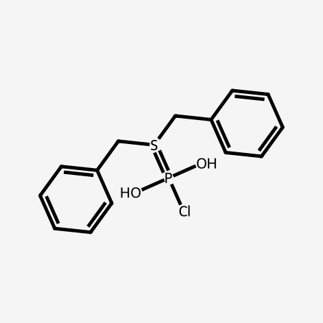 OP(O)(Cl)=S(Cc1ccccc1)Cc1ccccc1